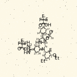 CCOc1cc(CC)cc(N(Cc2nc(-c3ccccc3S(C)(=O)=O)c[nH]2)c2ccc(C(=N)N)cc2)c1F.O=C(O)C(F)(F)F.O=C(O)C(F)(F)F